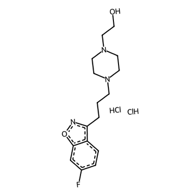 Cl.Cl.OCCN1CCN(CCCc2noc3cc(F)ccc23)CC1